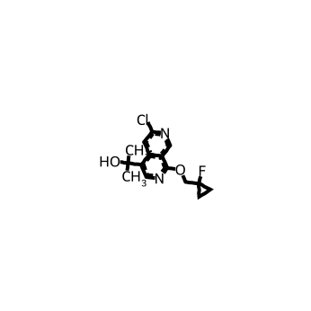 CC(C)(O)c1cnc(OCC2(F)CC2)c2cnc(Cl)cc12